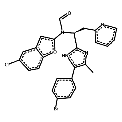 Cc1nc([C@H](Cc2ccccn2)N(C=O)c2cc3cc(Cl)ccc3o2)[nH]c1-c1ccc(Br)cc1